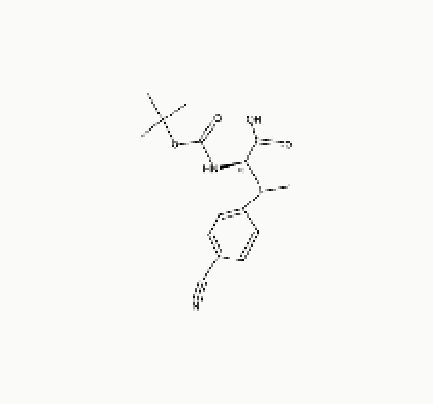 CC(c1ccc(C#N)cc1)[C@@H](NC(=O)OC(C)(C)C)C(=O)O